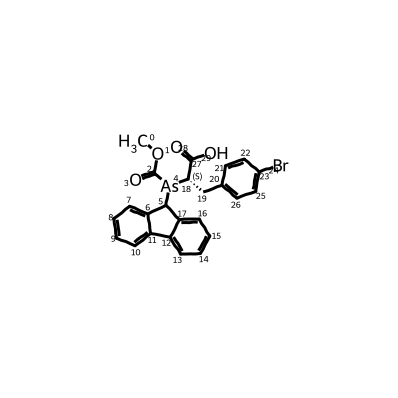 COC(=O)[As](C1c2ccccc2-c2ccccc21)[C@@H](Cc1ccc(Br)cc1)C(=O)O